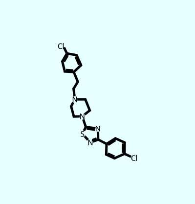 Clc1ccc(CCN2CCN(c3nc(-c4ccc(Cl)cc4)ns3)CC2)cc1